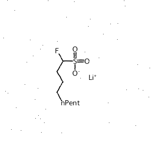 CCCCCCCCC(F)S(=O)(=O)[O-].[Li+]